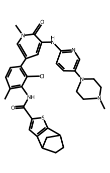 Cc1ccc(-c2cc(Nc3ccc(N4CCN(C)CC4)cn3)c(=O)n(C)c2)c(Cl)c1NC(=O)c1cc2c(s1)C1CCC2C1